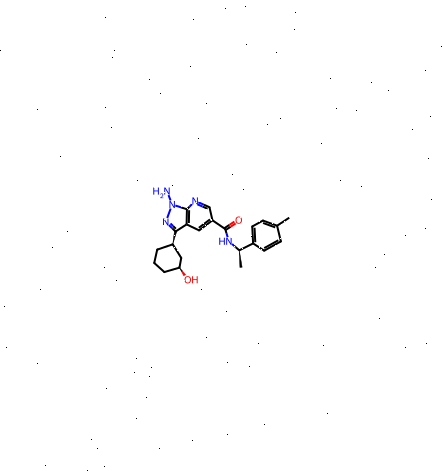 Cc1ccc([C@@H](C)NC(=O)c2cnc3c(c2)c([C@@H]2CCC[C@H](O)C2)nn3N)cc1